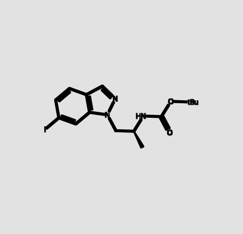 C[C@@H](Cn1ncc2ccc(I)cc21)NC(=O)OC(C)(C)C